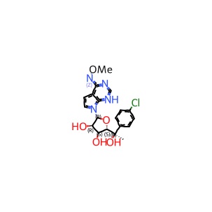 CO/N=c1\nc[nH]c2c1ccn2[C@@H]1O[C@H]([C@](C)(O)c2ccc(Cl)cc2)[C@@H](O)[C@H]1O